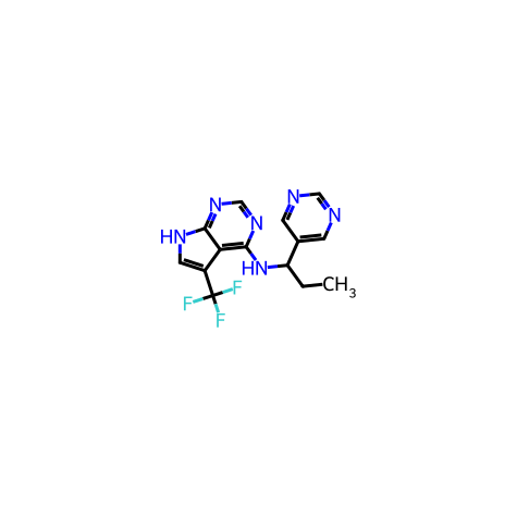 CCC(Nc1ncnc2[nH]cc(C(F)(F)F)c12)c1cncnc1